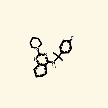 CC(C)(Nc1nc(N2CCCCC2)nc2ccccc12)c1ccc(F)cc1